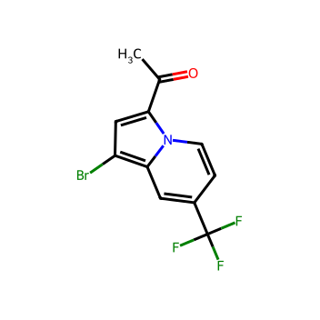 CC(=O)c1cc(Br)c2cc(C(F)(F)F)ccn12